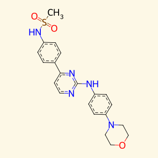 CS(=O)(=O)Nc1ccc(-c2ccnc(Nc3ccc(N4CCOCC4)cc3)n2)cc1